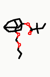 CCCOCOC12CC3CC(C1)CC(OC(=O)C(C)(C)CC)(C3)C2